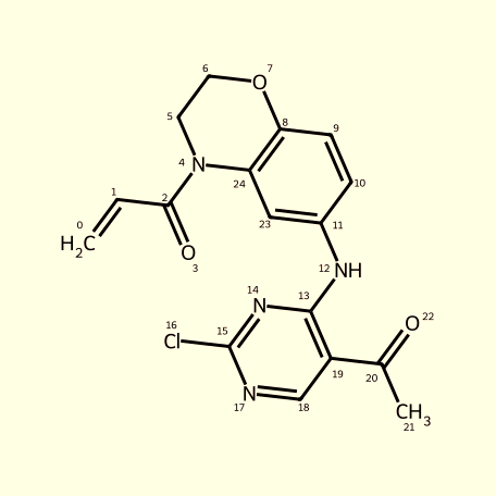 C=CC(=O)N1CCOc2ccc(Nc3nc(Cl)ncc3C(C)=O)cc21